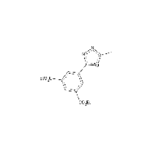 CCOC(=O)c1cc(C(=O)OCC)cc(-c2nnc(C)o2)c1